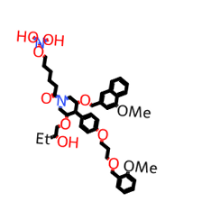 CCC(O)COC1CN(C(=O)CCCCCON(O)O)CC(OCc2cc(OC)c3ccccc3c2)C1c1ccc(OCCCOCc2ccccc2OC)cc1